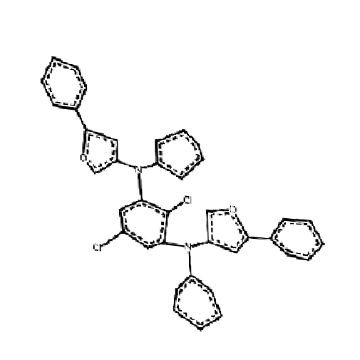 Clc1cc(N(c2ccccc2)c2coc(-c3ccccc3)c2)c(Cl)c(N(c2ccccc2)c2coc(-c3ccccc3)c2)c1